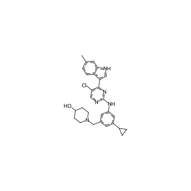 Cc1ccc2c(-c3nc(Nc4cc(CN5CCC(O)CC5)cc(C5CC5)c4)ncc3Cl)c[nH]c2c1